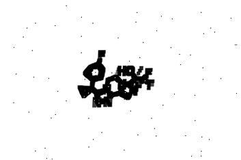 C[C@H]1Cn2c(nnc2C2(c3ccc(F)cc3)CC2)-c2cnc([C@@](C)(O)C(F)(F)F)n21